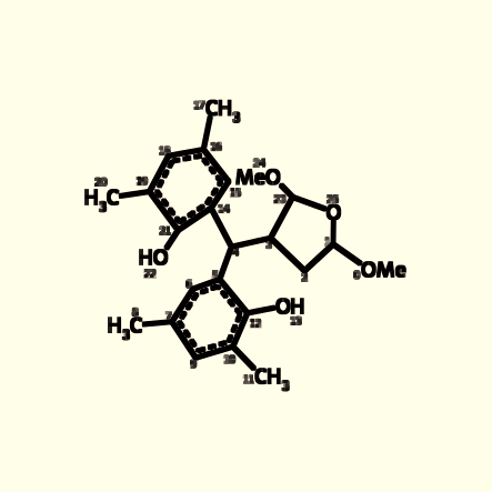 COC1CC(C(c2cc(C)cc(C)c2O)c2cc(C)cc(C)c2O)C(OC)O1